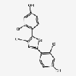 Oc1ccc(-c2cc(Cl)c(-c3ccc(O)cc3Cl)[se]2)c(Cl)c1